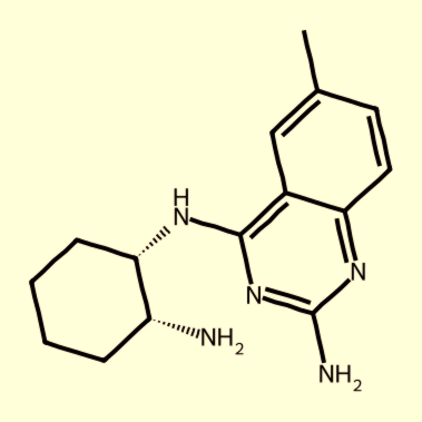 Cc1ccc2nc(N)nc(N[C@H]3CCCC[C@H]3N)c2c1